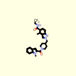 Cc1c(C(=O)NCC(F)(F)F)ccc2nn(CC3CCN(C(=O)c4cc5ccccc5n4C)CC3)cc12